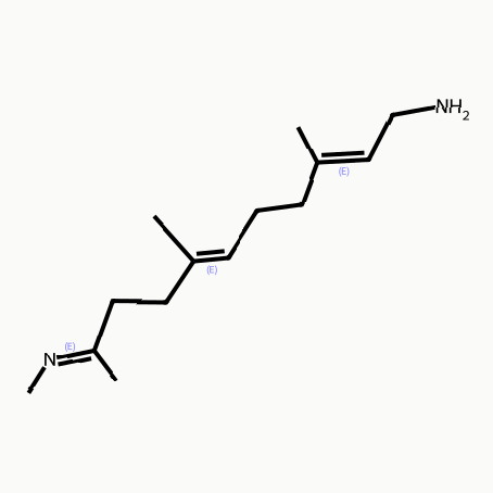 C/N=C(\C)CC/C(C)=C/CC/C(C)=C/CN